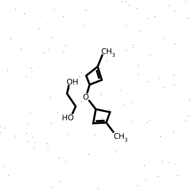 CC1=CC(OC2C=C(C)C2)C1.OCCO